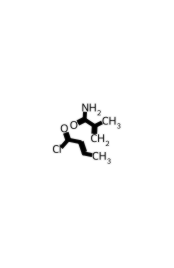 C=C(C)C(N)=O.CC=CC(=O)Cl